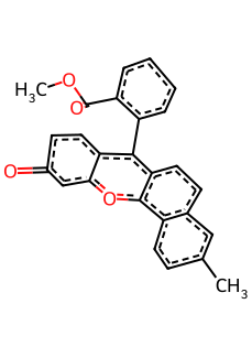 COC(=O)c1ccccc1-c1c2ccc(=O)cc-2oc2c1ccc1cc(C)ccc12